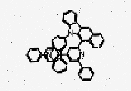 c1ccc(-c2cc(-c3ccccc3)nc(-c3c4ccccc4cc4c5ccccc5n(-c5ccc6c(c5)c5ccccc5n6-c5ccccc5)c34)c2)cc1